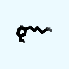 CCCCOc1cc(C)ccn1